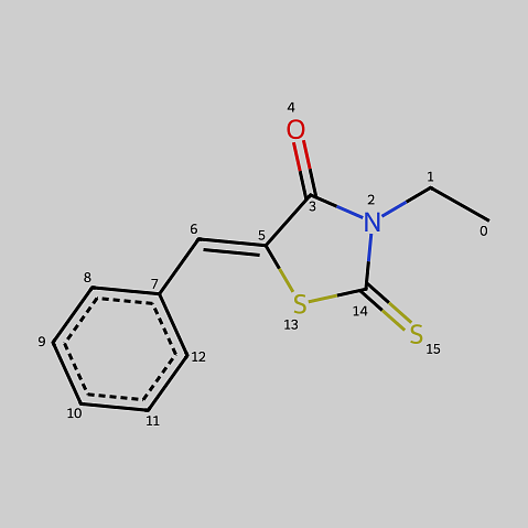 CCN1C(=O)C(=Cc2ccccc2)SC1=S